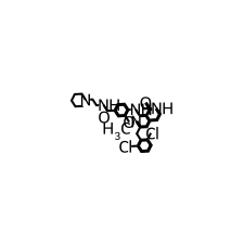 COc1cc(C(=O)NCCN2CCCCC2)ccc1Nc1nc(Cc2c(Cl)cccc2Cl)cc2cc[nH]c(=O)c12